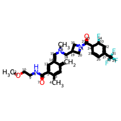 C=c1cc(C)c(C(=O)NCCOC)c/c1=C/N(C)CC1CN(C(=O)C2C=CC(C(F)(F)F)=CC2F)C1